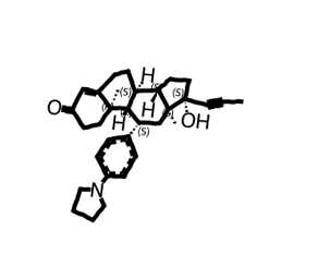 CC#C[C@]1(O)CC[C@H]2[C@@H]3CCC4=CC(=O)CC[C@]4(C)[C@H]3[C@@H](c3ccc(N4CCCC4)cc3)C[C@@]21C